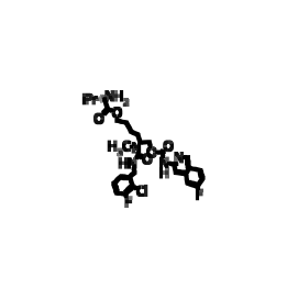 CC(C)[C@H](N)C(=O)OCCCCC(COC(=O)Nc1cc2cc(F)ccc2cn1)N(C)C(=O)NCc1cccc(F)c1Cl